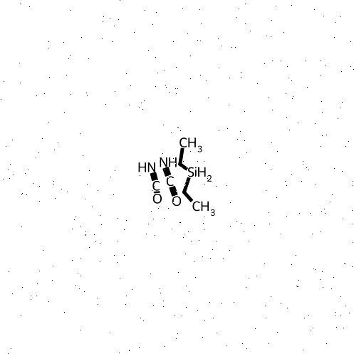 CC[SiH2]CC.N=C=O.N=C=O